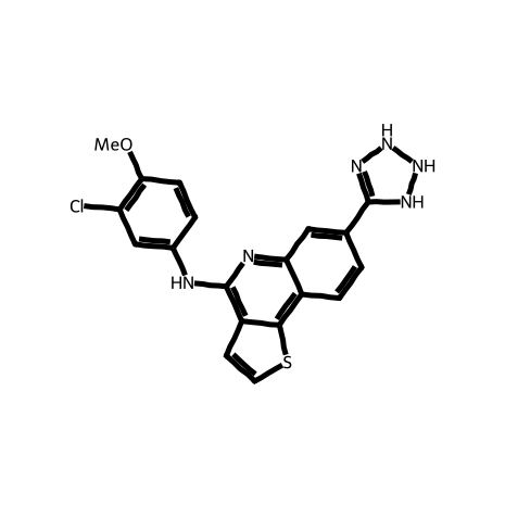 COc1ccc(Nc2nc3cc(C4=NNNN4)ccc3c3sccc23)cc1Cl